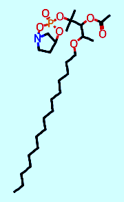 CCCCCCCCCCCCCCCCOC(C)C(OC(C)=O)C(C)(C)OP1(=O)OC2CCN(C2)O1